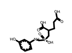 O=C(O)CCC(CP(=O)(O)CNc1cccc(O)c1)C(=O)O